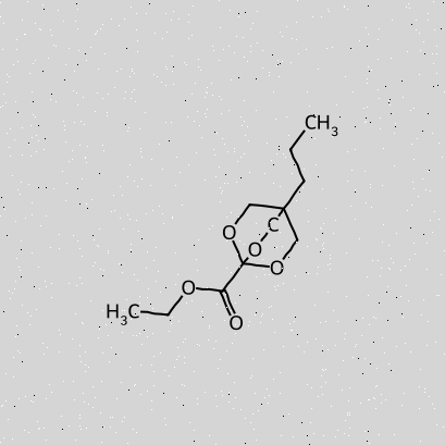 CCCC12COC(C(=O)OCC)(OC1)OC2